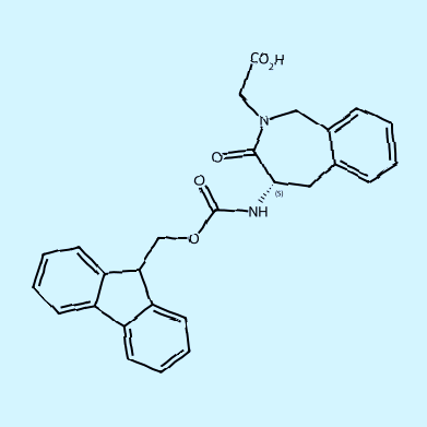 O=C(O)CN1Cc2ccccc2C[C@H](NC(=O)OCC2c3ccccc3-c3ccccc32)C1=O